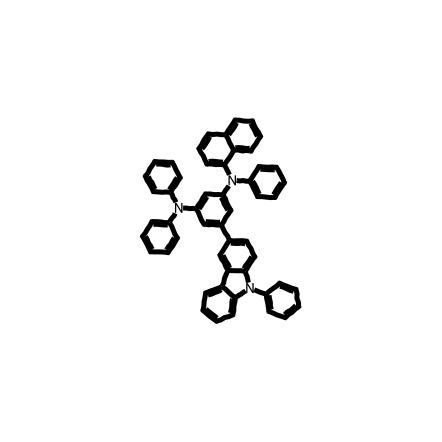 c1ccc(N(c2ccccc2)c2cc(-c3ccc4c(c3)c3ccccc3n4-c3ccccc3)cc(N(c3ccccc3)c3cccc4ccccc34)c2)cc1